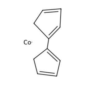 C1=CCC(C2=CC=CC2)=C1.[Co]